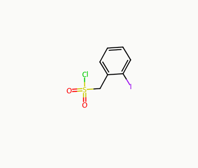 O=S(=O)(Cl)Cc1ccccc1I